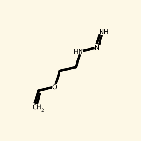 C=COCCNN=N